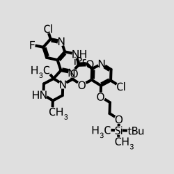 CC1CN(C(=O)Oc2c(C(C)C)ncc(Cl)c2OCCO[Si](C)(C)C(C)(C)C)C(C)(c2nc(=O)[nH]c3nc(Cl)c(F)cc23)CN1